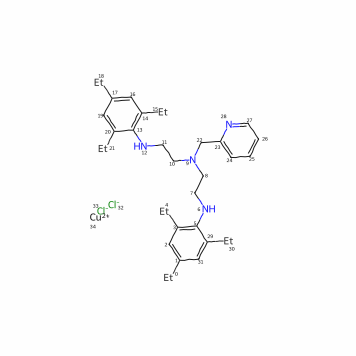 CCc1cc(CC)c(NCCN(CCNc2c(CC)cc(CC)cc2CC)Cc2ccccn2)c(CC)c1.[Cl-].[Cl-].[Cu+2]